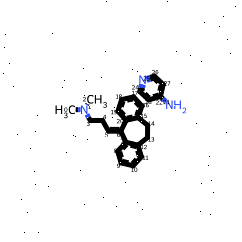 CN(C)CCC=C1c2ccccc2CCc2ccccc21.Nc1ccncc1